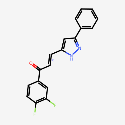 O=C(/C=C/c1cc(-c2ccccc2)n[nH]1)c1ccc(F)c(F)c1